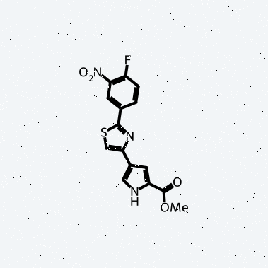 COC(=O)c1cc(-c2csc(-c3ccc(F)c([N+](=O)[O-])c3)n2)c[nH]1